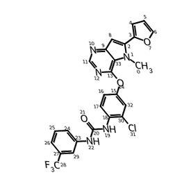 Cn1c(-c2ccco2)cc2ncnc(Oc3ccc(NC(=O)Nc4cccc(C(F)(F)F)c4)c(Cl)c3)c21